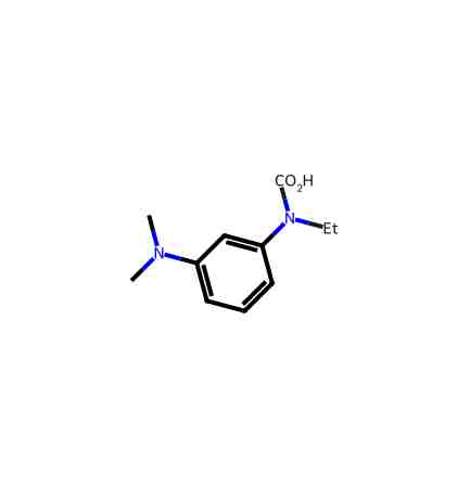 CCN(C(=O)O)c1cccc(N(C)C)c1